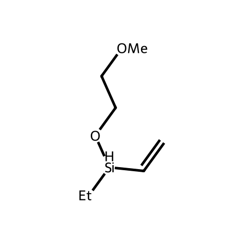 C=C[SiH](CC)OCCOC